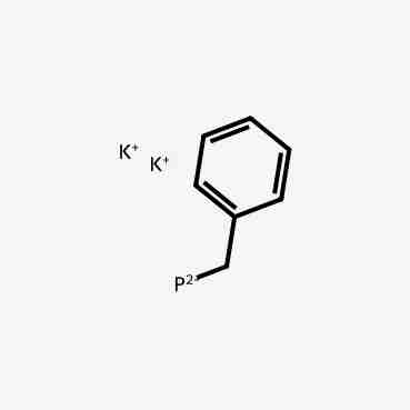 [K+].[K+].[P-2]Cc1ccccc1